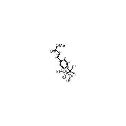 CCOP(=O)(OCC)C(F)(F)c1ccc(/C=C/C(=O)OC)cc1